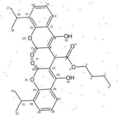 CCCCOC(=O)C(c1c(O)c2cccc(C(C)C)c2oc1=O)c1c(O)c2cccc(C(C)C)c2oc1=O